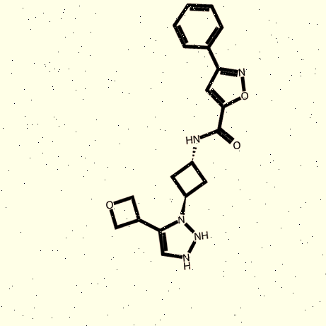 O=C(N[C@H]1C[C@H](N2NNC=C2C2COC2)C1)c1cc(-c2ccccc2)no1